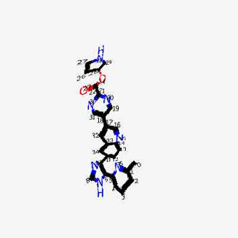 Cc1cccc(-c2[nH]cnc2-c2ccc3ncc(-c4cnc(C(=O)O[C@H]5CCNC5)nc4)cc3c2)n1